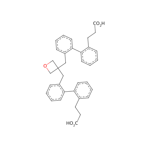 O=C(O)CCc1ccccc1-c1ccccc1CC1(Cc2ccccc2-c2ccccc2CCC(=O)O)COC1